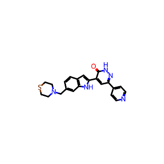 O=c1[nH]nc(-c2ccncc2)cc1-c1cc2ccc(CN3CCSCC3)cc2[nH]1